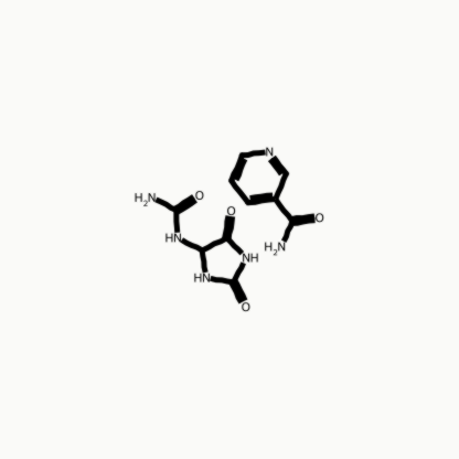 NC(=O)NC1NC(=O)NC1=O.NC(=O)c1cccnc1